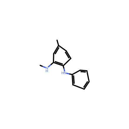 CNc1cc(C)ccc1Nc1ccccc1